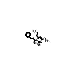 CCCc1cc(OC)nc(=N)n1C(=N)CCc1ccccc1